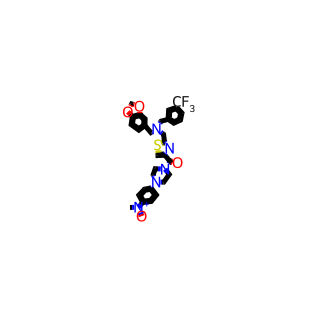 C[N+](=O)c1ccc(N2CCN(C(=O)c3csc(CN(Cc4cccc(C(F)(F)F)c4)Cc4ccc5c(c4)OCO5)n3)CC2)cc1